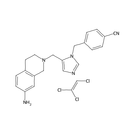 ClC=C(Cl)Cl.N#Cc1ccc(Cn2cncc2CN2CCc3ccc(N)cc3C2)cc1